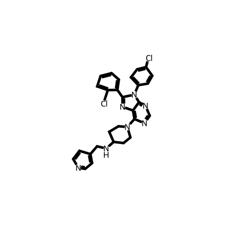 Clc1ccc(-n2c(-c3ccccc3Cl)nc3c(N4CCC(NCc5ccncc5)CC4)ncnc32)cc1